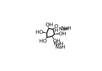 O[C@H]1[C@H](O)[C@@H](O)[C@H](O)[C@@H](O)[C@H]1O.[NaH].[NaH].[NaH].[NaH]